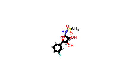 CS(=O)(=O)Nc1oc(-c2cccc(F)c2)c(O)c1O